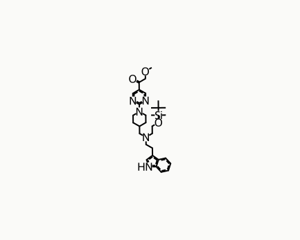 COCC(=O)c1cnc(N2CCC(CN(CCO[Si](C)(C)C(C)(C)C)CCc3c[nH]c4ccccc34)CC2)nc1